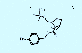 CC(C)(C)[Si](C)(C)OCC12CCC(CC1)N2C(=O)OCc1ccc(Br)cc1